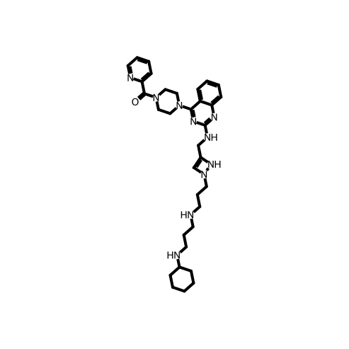 O=C(c1ccccn1)N1CCN(c2nc(NCc3cn(CCCNCCCNC4CCCCC4)[nH]3)nc3ccccc23)CC1